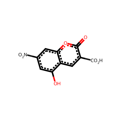 O=C(O)c1cc2c(O)cc([N+](=O)[O-])cc2oc1=O